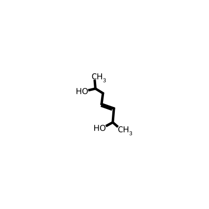 CC(O)C=CCC(C)O